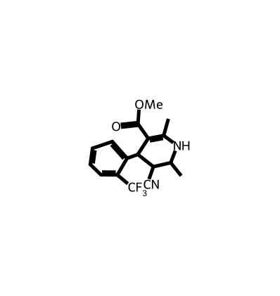 COC(=O)C1=C(C)NC(C)C(C#N)C1c1ccccc1C(F)(F)F